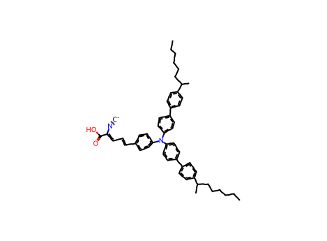 [C-]#[N+]/C(=C\C=C\c1ccc(N(c2ccc(-c3ccc(C(C)CCCCCC)cc3)cc2)c2ccc(-c3ccc(C(C)CCCCCC)cc3)cc2)cc1)C(=O)O